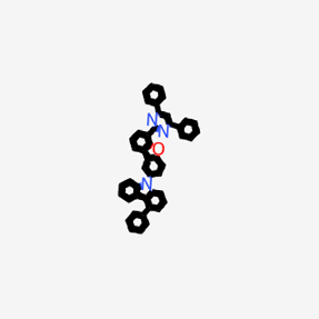 c1ccc(-c2cc(-c3ccccc3)nc(-c3cccc4c3oc3ccc(-n5c6ccccc6c6c(-c7ccccc7)cccc65)cc34)n2)cc1